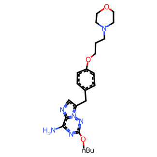 CCCCOc1nc(N)c2ncc(Cc3ccc(OCCCN4CCOCC4)cc3)n2n1